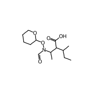 CCC(C)C(C(=O)O)C(C)N(C=O)OC1CCCCO1